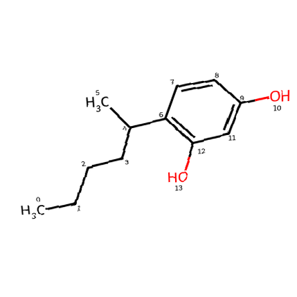 CCCCC(C)c1ccc(O)cc1O